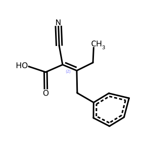 CC/C(Cc1ccccc1)=C(\C#N)C(=O)O